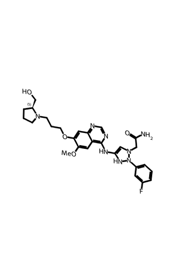 COc1cc2c(NC3=CN(CC(N)=O)N(c4cccc(F)c4)N3)ncnc2cc1OCCCN1CCC[C@H]1CO